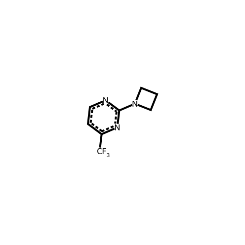 FC(F)(F)c1ccnc(N2CCC2)n1